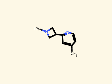 CC(C)N1CC(c2cc(C(F)(F)F)ccn2)C1